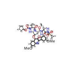 C=C[C@@H]1C[C@]1(NC(=O)[C@@H]1C[C@@H](Oc2c3ccc(OC)cc3nc3c2oc2ccc(OC)cc23)CN1C(=O)[C@@H](NC(=O)OC1CCCC1)C(C)C)C(=O)NS(=O)(=O)C1CC1